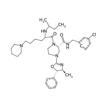 CCC(C)NC(CCCCN1CCCCC1)C(=O)N1CCN(C2=N[C@@H](C)[C@H](c3ccccc3)O2)C[C@H]1C(=O)NCc1cccc(Cl)c1